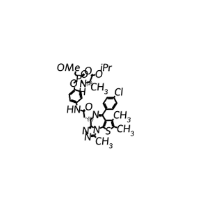 COCP(=O)(N[C@@H](C)C(=O)OC(C)C)Oc1ccc(NC(=O)C[C@@H]2N=C(c3ccc(Cl)cc3)c3c(sc(C)c3C)-n3c(C)nnc32)cc1